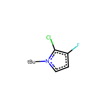 CC(C)(C)n1ccc(F)c1Cl